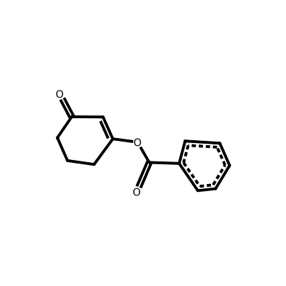 O=C1C=C(OC(=O)c2ccccc2)CCC1